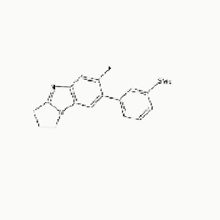 CSc1cccc(-c2cc3c(cc2F)nc2n3CCC2)c1